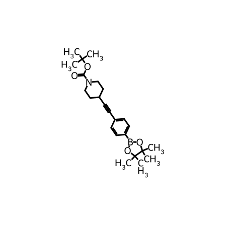 CC(C)(C)OC(=O)N1CCC(C#Cc2ccc(B3OC(C)(C)C(C)(C)O3)cc2)CC1